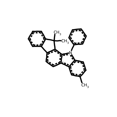 Cc1ccc2c(c1)c1ccc3c(c1n2-c1ccccc1)C(C)(C)c1ccccc1-3